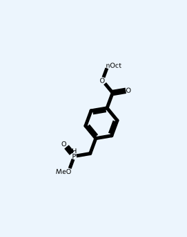 CCCCCCCCOC(=O)c1ccc(C[PH](=O)OC)cc1